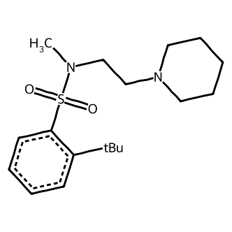 CN(CCN1CCCCC1)S(=O)(=O)c1ccccc1C(C)(C)C